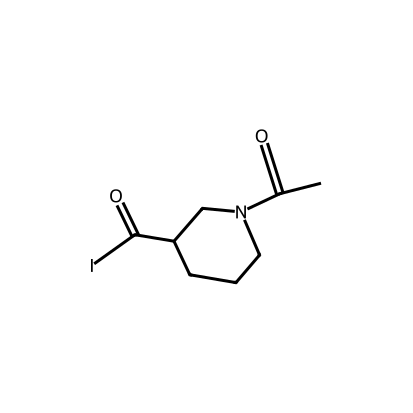 CC(=O)N1CCCC(C(=O)I)C1